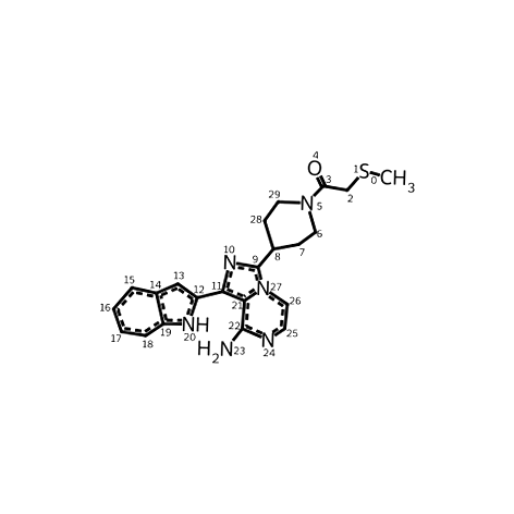 CSCC(=O)N1CCC(c2nc(-c3cc4ccccc4[nH]3)c3c(N)nccn23)CC1